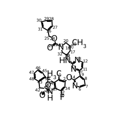 Cc1c(Oc2ncccc2-c2ccnc(N[C@H]3C[C@@H](C)CN(C(=O)OCc4ccccc4)C3)n2)cc(F)c(NS(=O)(=O)Cc2ccccc2)c1F